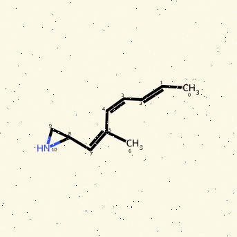 C/C=C/C=C\C(C)=C/C1CN1